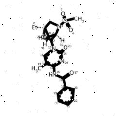 CC[C@@]12CN(S(C)(=O)=O)[C@@H](C(n3cc(C)c(NC(=O)c4ccccc4)nc3=O)O1)[C@@H]2O